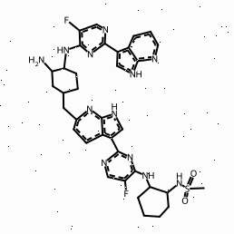 CS(=O)(=O)NC1CCCCC1Nc1nc(-c2c[nH]c3nc(CC4CCC(Nc5nc(-c6c[nH]c7ncccc67)ncc5F)C(N)C4)ccc23)ncc1F